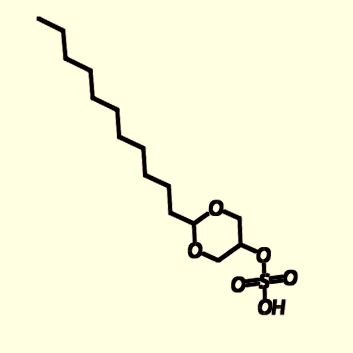 CCCCCCCCCCCC1OCC(OS(=O)(=O)O)CO1